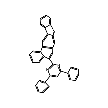 c1ccc(-c2cc(-c3ccccc3)nc(-c3cc4cc5sc6ccccc6c5cc4c4ccccc34)n2)cc1